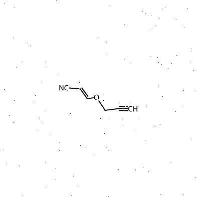 C#CCOC=CC#N